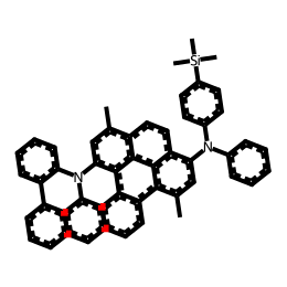 Cc1cc(N(c2ccccc2)c2ccccc2-c2ccccc2)c2c3ccccc3c3c(C)cc(N(c4ccccc4)c4ccc([Si](C)(C)C)cc4)c4ccc1c2c43